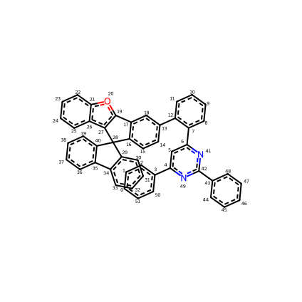 c1ccc(-c2cc(-c3ccccc3-c3ccc4c(c3)-c3oc5ccccc5c3C43c4ccccc4-c4ccccc43)nc(-c3ccccc3)n2)cc1